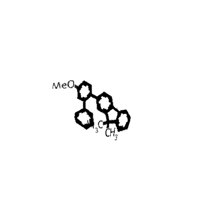 COc1ccc(-c2ccc3c(c2)C(C)(C)c2ccccc2-3)c(-c2ccccc2)c1